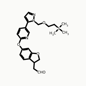 CS(C)(C)CCOCn1nccc1-c1ccc(Oc2ccc3c(c2)OCC3CC=O)nc1